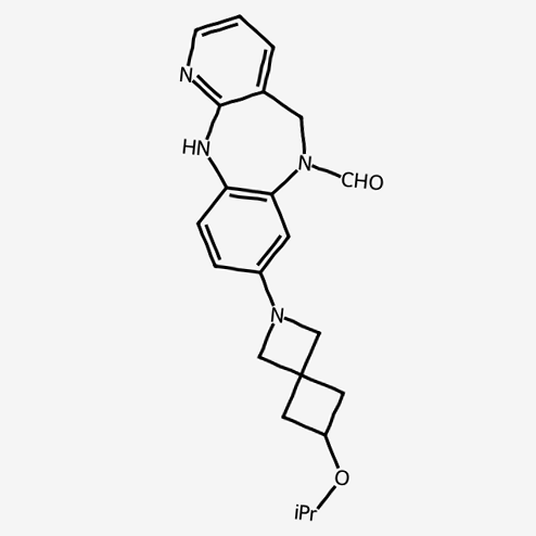 CC(C)OC1CC2(C1)CN(c1ccc3c(c1)N(C=O)Cc1cccnc1N3)C2